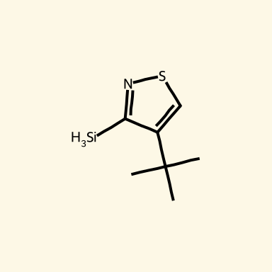 CC(C)(C)c1csnc1[SiH3]